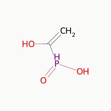 C=C(O)[PH](=O)O